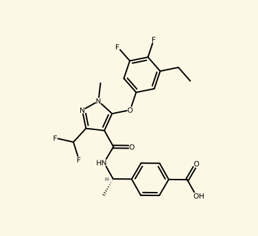 CCc1cc(Oc2c(C(=O)N[C@@H](C)c3ccc(C(=O)O)cc3)c(C(F)F)nn2C)cc(F)c1F